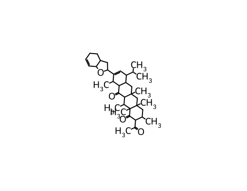 CC(=O)C1C(=O)C2(C)C(C)C3C(=O)C4C(C)C(C5CC6CCC=CC6O5)=CC(C(C)C)C4CC3(C)CC2(C)CC1C